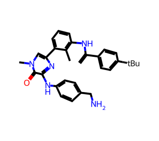 C=C(Nc1cccc(-c2cn(C)c(=O)c(Nc3ccc(CN)cc3)n2)c1C)c1ccc(C(C)(C)C)cc1